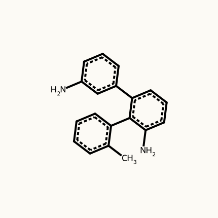 Cc1ccccc1-c1c(N)cccc1-c1cccc(N)c1